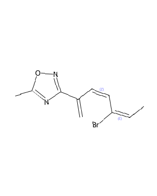 C=C(/C=C\C(Br)=C/C)c1noc(C)n1